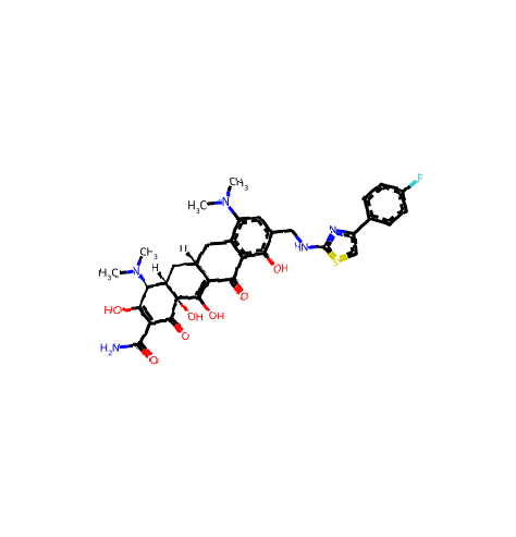 CN(C)c1cc(CNc2nc(-c3ccc(F)cc3)cs2)c(O)c2c1C[C@H]1C[C@H]3[C@H](N(C)C)C(O)=C(C(N)=O)C(=O)[C@@]3(O)C(O)=C1C2=O